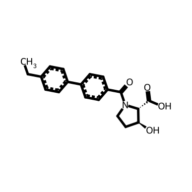 CCc1ccc(-c2ccc(C(=O)N3CC[C@H](O)[C@H]3C(=O)O)cc2)cc1